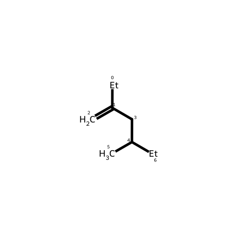 [CH2]CC(=C)CC(C)CC